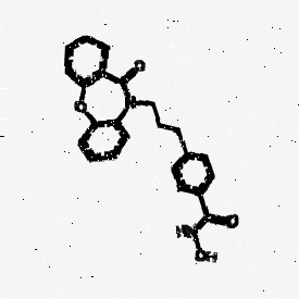 O=C(NO)c1ccc(CCCN2C(=O)c3ccccc3Oc3ccccc32)cc1